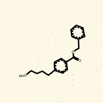 COCCCCc1ccc(C(=O)OCc2ccccc2)cc1